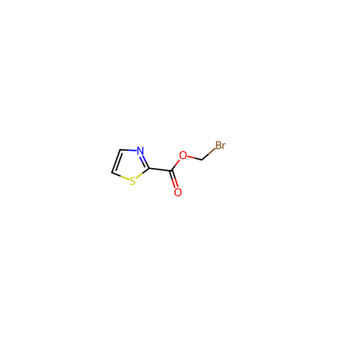 O=C(OCBr)c1nccs1